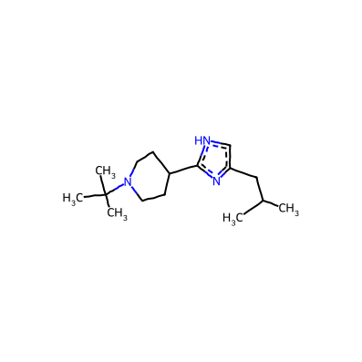 CC(C)Cc1c[nH]c(C2CCN(C(C)(C)C)CC2)n1